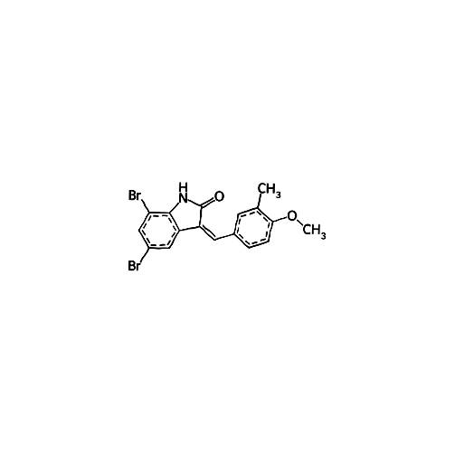 COc1ccc(C=C2C(=O)Nc3c(Br)cc(Br)cc32)cc1C